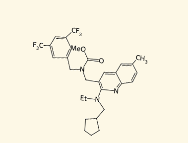 CCN(CC1CCCC1)c1nc2ccc(C)cc2cc1CN(Cc1cc(C(F)(F)F)cc(C(F)(F)F)c1)C(=O)OC